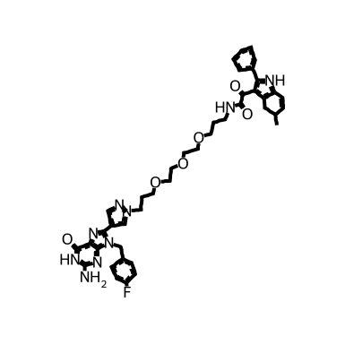 CC1C=Cc2[nH]c(-c3ccccc3)c(C(=O)C(=O)NCCCOCCOCCOCCCn3cc(-c4nc5c(=O)[nH]c(N)nc5n4Cc4ccc(F)cc4)cn3)c2C1